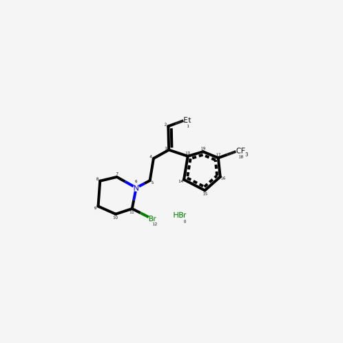 Br.CCC=C(CCN1CCCCC1Br)c1cccc(C(F)(F)F)c1